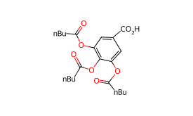 CCCCC(=O)Oc1cc(C(=O)O)cc(OC(=O)CCCC)c1OC(=O)CCCC